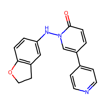 O=c1ccc(-c2ccncc2)cn1Nc1ccc2c(c1)CCO2